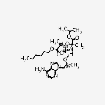 CCCCCCOC(=O)[C@@H](C)N[P@@](=O)(CO[C@H](C)Cn1cnc2c(N)ncnc21)NC(C)(C)C(=O)OC(C)C